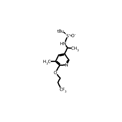 Cc1cc(C(C)N[S@+]([O-])C(C)(C)C)cnc1OCCC(F)(F)F